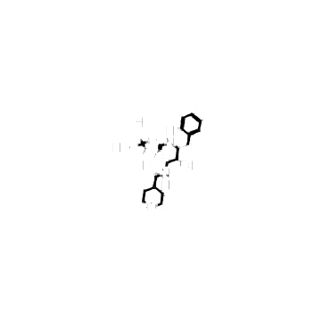 CC(C)(C)OC(=O)N[C@@H](Cc1ccccc1)[C@@H](O)CNCC1CCOCC1